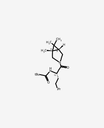 CC(C)CC[C@H](NC(=O)C(C)(C)C)C(=O)N1C[C@H]2C(C)(C)[C@@]2(C)C1